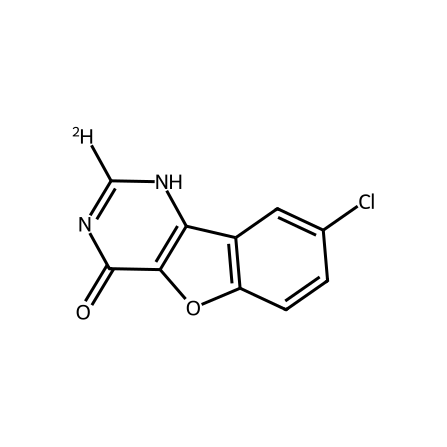 [2H]c1nc(=O)c2oc3ccc(Cl)cc3c2[nH]1